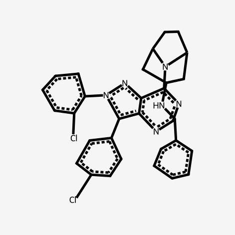 Clc1ccc(-c2c3ncnc(N4C5CCC4CC(NCc4ccccc4)C5)c3nn2-c2ccccc2Cl)cc1